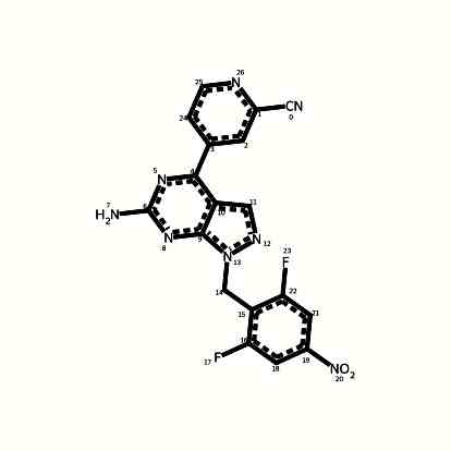 N#Cc1cc(-c2nc(N)nc3c2cnn3Cc2c(F)cc([N+](=O)[O-])cc2F)ccn1